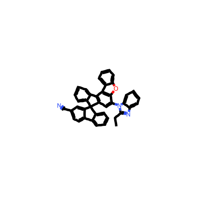 CCc1nc2ccccc2n1-c1cc2c(c3c1oc1ccccc13)-c1ccccc1C21c2ccccc2-c2ccc(C#N)cc21